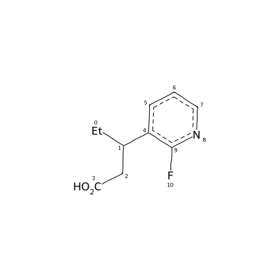 CCC(CC(=O)O)c1cccnc1F